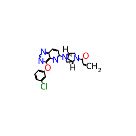 C=CC(=O)N1C[C@@H]2C[C@H]1CN2c1ccc2ncnc(Oc3cccc(Cl)c3)c2n1